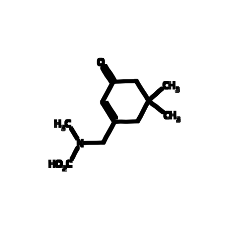 CN(CC1=CC(=O)CC(C)(C)C1)C(=O)O